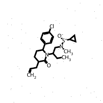 C=CCC1CCC(c2ccc(Cl)cc2)N(C(CC)CN(C)[S+]([O-])C2CC2)C1=O